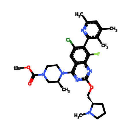 Cc1cc(C)c(C(F)(F)F)c(-c2c(Cl)cc3c(N4CCN(C(=O)OC(C)(C)C)C[C@@H]4C)nc(OC[C@@H]4CCCN4C)nc3c2F)n1